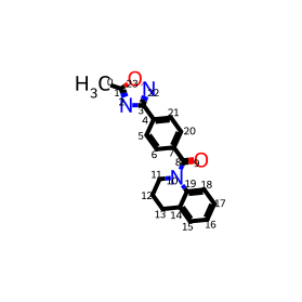 Cc1nc(-c2ccc(C(=O)N3CCCc4ccccc43)cc2)no1